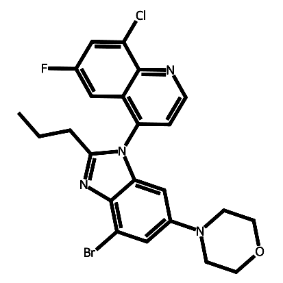 CCCc1nc2c(Br)cc(N3CCOCC3)cc2n1-c1ccnc2c(Cl)cc(F)cc12